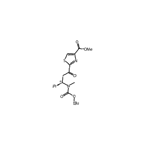 COC(=O)c1csc(C(=O)C[C@H](C(C)C)N(C)C(=O)OC(C)(C)C)n1